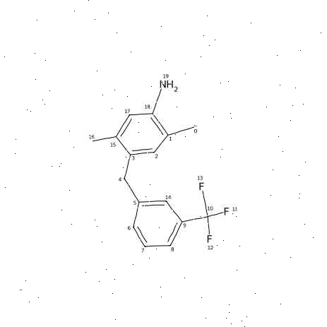 Cc1cc(Cc2cccc(C(F)(F)F)c2)c(C)cc1N